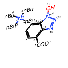 CCCC[N+](CCCC)(CCCC)CCCC.O=C([O-])c1cccc2c1nnn2O